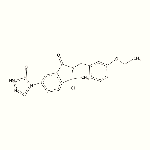 CCOc1cccc(CN2C(=O)c3cc(-n4cn[nH]c4=O)ccc3C2(C)C)c1